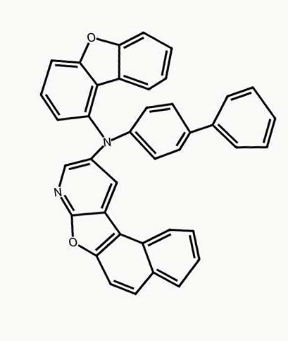 c1ccc(-c2ccc(N(c3cnc4oc5ccc6ccccc6c5c4c3)c3cccc4oc5ccccc5c34)cc2)cc1